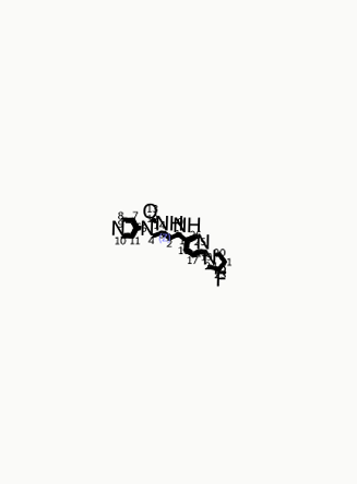 N=C(/C=C1/CN(c2ccncc2)C(=O)N1)c1ccc(N2CC[C@H](F)C2)nc1